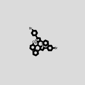 Clc1cccc(Cl)c1C(c1[nH]c(-c2ccc(Br)cc2)cc1-c1ccccc1)c1[nH]c(-c2ccc(Br)cc2)cc1-c1ccccc1